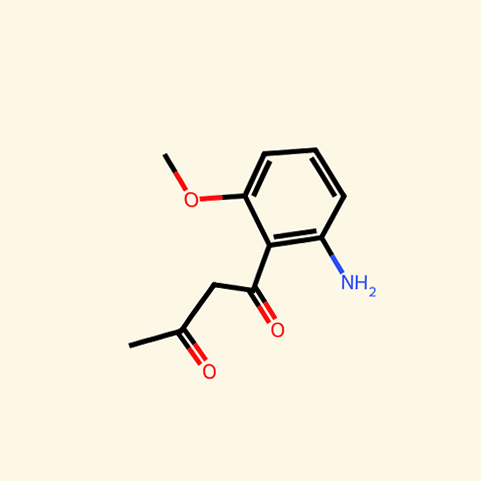 COc1cccc(N)c1C(=O)CC(C)=O